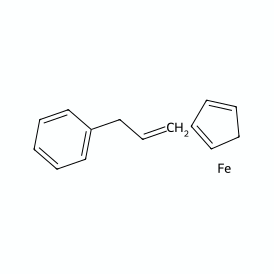 C1=CCC=C1.C=CCc1ccccc1.[Fe]